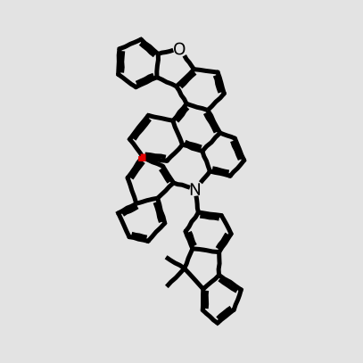 CC1(C)c2ccccc2-c2ccc(N(c3cccc4ccccc34)c3cccc4c5ccc6oc7ccccc7c6c5c5ccccc5c34)cc21